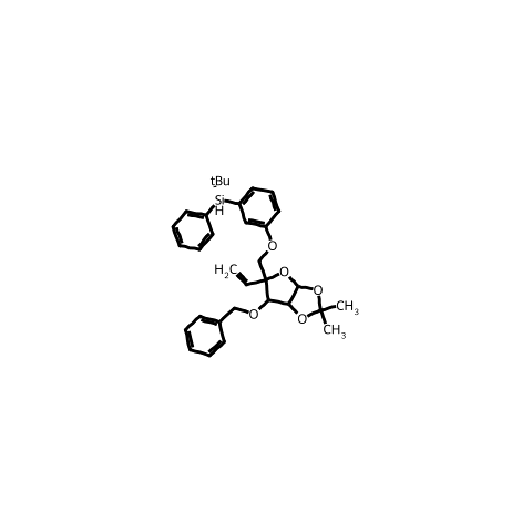 C=CC1(COc2cccc([SiH](c3ccccc3)C(C)(C)C)c2)OC2OC(C)(C)OC2C1OCc1ccccc1